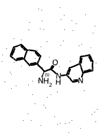 N[C@H](C(=O)Nc1cnc2ccccc2c1)c1ccc2ccccc2c1